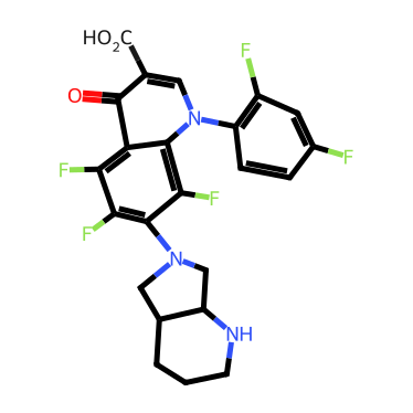 O=C(O)c1cn(-c2ccc(F)cc2F)c2c(F)c(N3CC4CCCNC4C3)c(F)c(F)c2c1=O